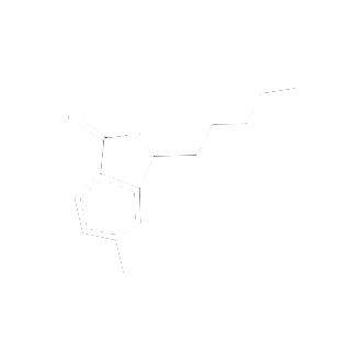 CCCCCC1OC(=O)c2ccc(C)cc21